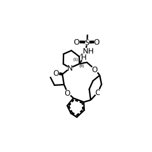 CCC1Oc2ccccc2C2CCC(CC2)OC[C@H]2[C@@H](NS(C)(=O)=O)CCCN2C1=O